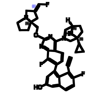 C#Cc1c(F)ccc2cc(O)cc(-c3ccc4c(N5C[C@@H]6CC[C@](C7CC7)(C5)N6)nc(OC[C@@]56CCCN5C/C(=C/F)C6)nc4c3F)c12